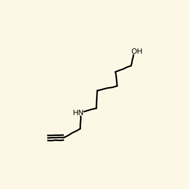 C#CCNCCCCCO